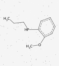 CCCPc1ccccc1OC